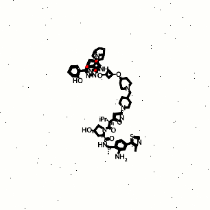 Cc1ncsc1-c1ccc([C@H](C)NC(=O)[C@@H]2C[C@@H](O)CN2C(=O)[C@@H](c2cc(N3CCC(CN4CCC(O[C@H]5C[C@H](Oc6cc(N7C8CCC7CN(c7cc(-c9ccccc9O)nnc7N)C8)ccn6)C5)CC4)CC3)no2)C(C)C)c(N)c1